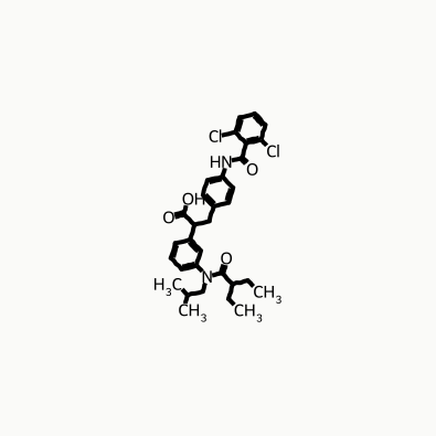 CCC(CC)C(=O)N(CC(C)C)c1cccc(C(Cc2ccc(NC(=O)c3c(Cl)cccc3Cl)cc2)C(=O)O)c1